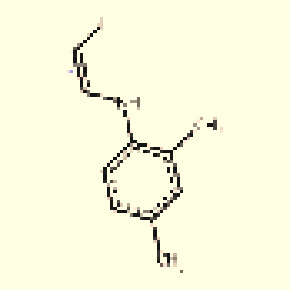 Cc1ccc(N/C=C\I)c(C)c1